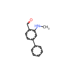 CNc1cc(-c2ccccc2)ccc1C=O